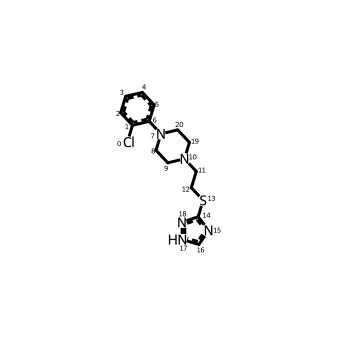 Clc1ccccc1N1CCN(CCSc2nc[nH]n2)CC1